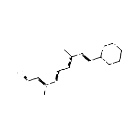 CC(C=CC=C(C)C=CC1CCCCC1)=CC=O